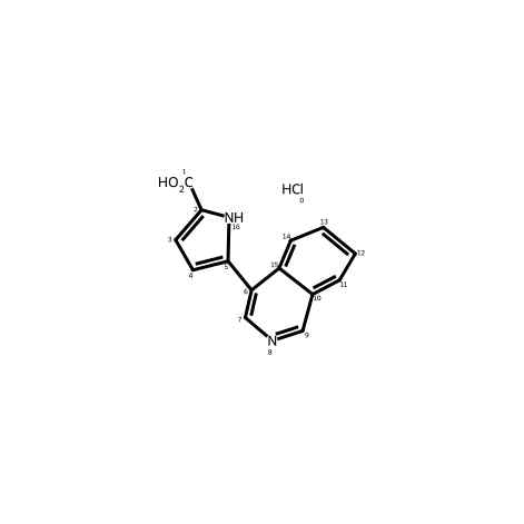 Cl.O=C(O)c1ccc(-c2cncc3ccccc23)[nH]1